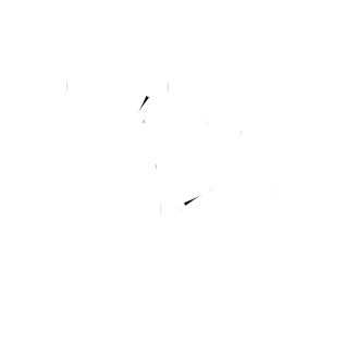 CC(=O)[C@@](O)(C(=O)Cl)[C@@H](O)[C@H](O)[C@H](O)CO